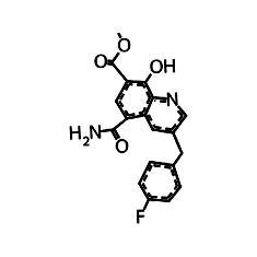 COC(=O)c1cc(C(N)=O)c2cc(Cc3ccc(F)cc3)cnc2c1O